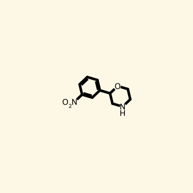 O=[N+]([O-])c1cccc(C2CNCCO2)c1